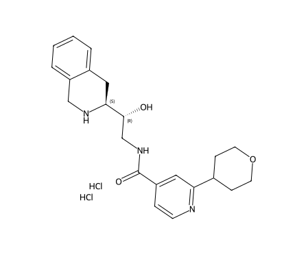 Cl.Cl.O=C(NC[C@@H](O)[C@@H]1Cc2ccccc2CN1)c1ccnc(C2CCOCC2)c1